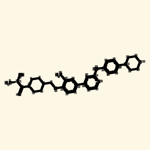 C[C@H](O)C(=O)N1CCC(COc2ccc(-c3ccnc(Nc4ccc(N5CCOCC5)cc4)n3)cc2N)CC1